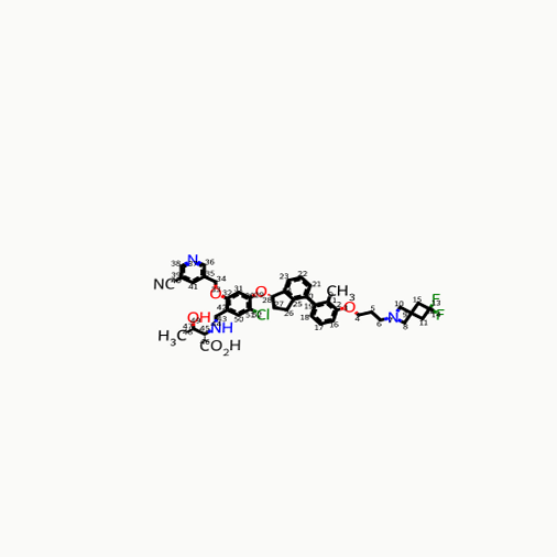 Cc1c(OCCCN2CC3(C2)CC(F)(F)C3)cccc1-c1cccc2c1CC[C@@H]2Oc1cc(OCc2cncc(C#N)c2)c(CN[C@H](C(=O)O)[C@@H](C)O)cc1Cl